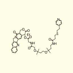 CC[C@@]1(OC(=O)CNC(=O)COC(C)(C)CCOC(C)(C)CCNC(=O)CCSCCc2ccncc2)C(=O)OCc2c1cc1n(c2=O)Cc2cc3ccccc3nc2-1